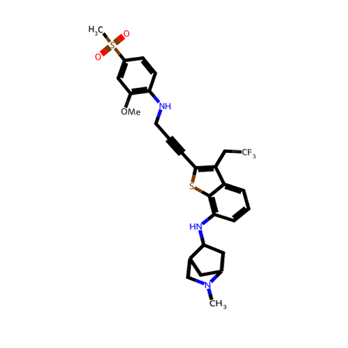 COc1cc(S(C)(=O)=O)ccc1NCC#Cc1sc2c(NC3CC4CC3CN4C)cccc2c1CC(F)(F)F